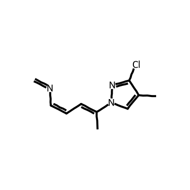 C=N/C=C\C=C(/C)n1cc(C)c(Cl)n1